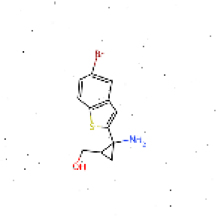 NC1(c2cc3cc(Br)ccc3s2)CC1CO